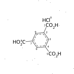 Cl.O=C(O)c1cc(C(=O)O)cc(C(=O)O)c1